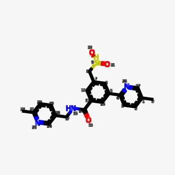 Cc1ccc(-c2cc(C[SH](=O)=O)cc(C(=O)NCc3ccc(C)nc3)c2)nc1